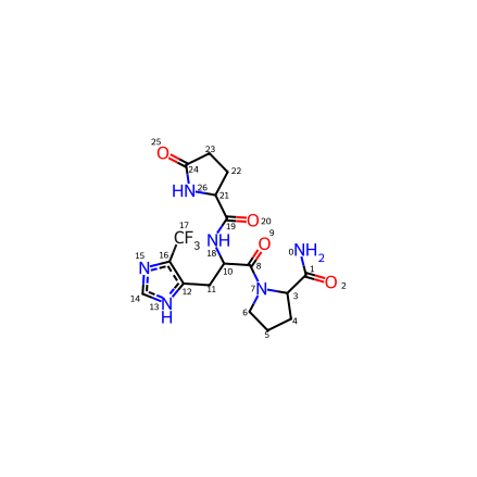 NC(=O)C1CCCN1C(=O)C(Cc1[nH]cnc1C(F)(F)F)NC(=O)C1CCC(=O)N1